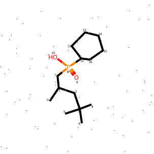 CC(CC(C)(C)C)CP(=O)(O)C1CCCCC1